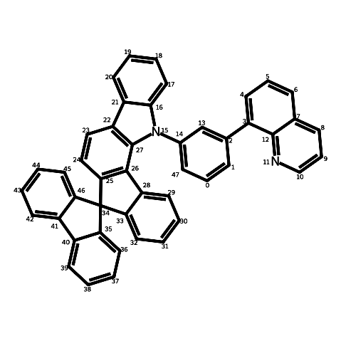 c1cc(-c2cccc3cccnc23)cc(-n2c3ccccc3c3ccc4c(c32)-c2ccccc2C42c3ccccc3-c3ccccc32)c1